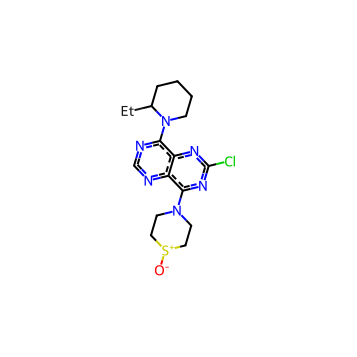 CCC1CCCCN1c1ncnc2c(N3CC[S+]([O-])CC3)nc(Cl)nc12